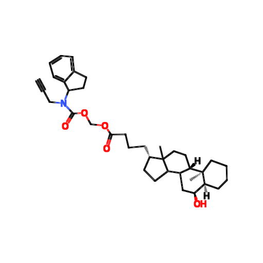 C#CCN(C(=O)OCOC(=O)CCC[C@H]1CCC2C3C[C@H](O)[C@@H]4CCCC[C@]4(C)[C@H]3CCC21C)C1CCc2ccccc21